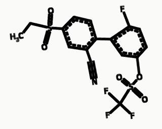 CCS(=O)(=O)c1ccc(-c2cc(OS(=O)(=O)C(F)(F)F)ccc2F)c(C#N)c1